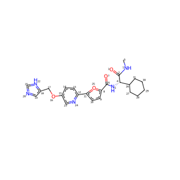 CNC(=O)[C@@H](NC(=O)c1ccc(-c2ccc(OCc3cnc[nH]3)cn2)o1)C1CCCCC1